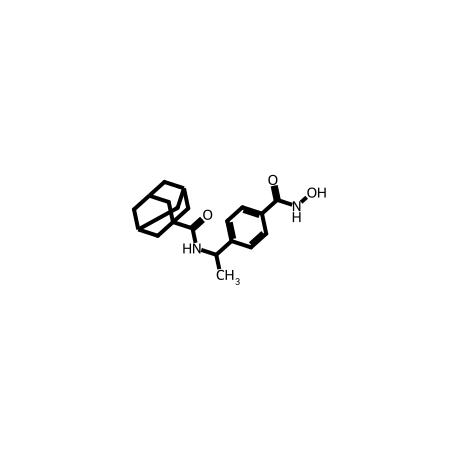 CC(NC(=O)C12CC3CC(CC(C3)C1)C2)c1ccc(C(=O)NO)cc1